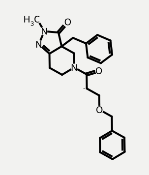 CN1N=C2CCN(C(=O)[CH]COCc3ccccc3)CC2(Cc2ccccc2)C1=O